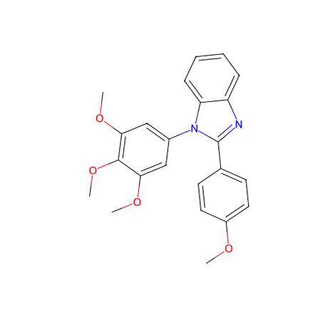 COc1ccc(-c2nc3ccccc3n2-c2cc(OC)c(OC)c(OC)c2)cc1